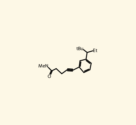 [CH2]CC(c1cccc(C#CCCC(=O)NC)c1)C(C)(C)C